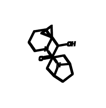 O=C(C(O)C1CC1)N1C2CCC1CC(N1CCCCC1)C2